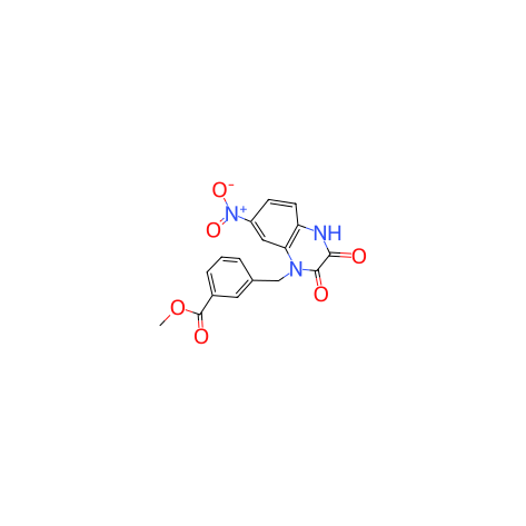 COC(=O)c1cccc(Cn2c(=O)c(=O)[nH]c3ccc([N+](=O)[O-])cc32)c1